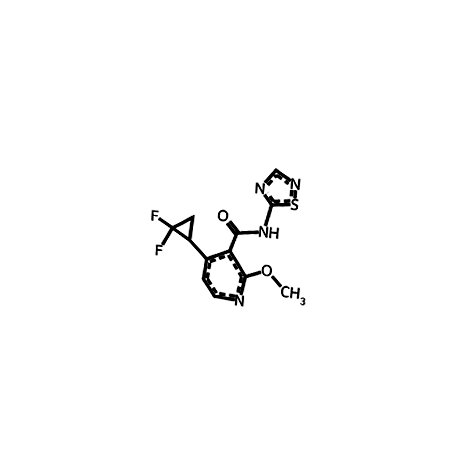 COc1nccc(C2CC2(F)F)c1C(=O)Nc1ncns1